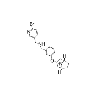 CN1[C@@H]2CC[C@H]1C[C@@H](Oc1cccc(CNCc3ccc(Br)nc3)c1)C2